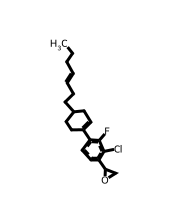 CCC/C=C/CCC1CC=C(c2ccc(C3CO3)c(Cl)c2F)CC1